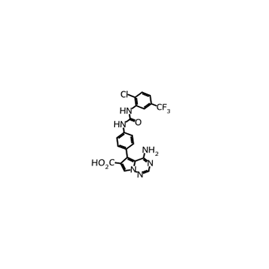 Nc1ncnn2cc(C(=O)O)c(-c3ccc(NC(=O)Nc4cc(C(F)(F)F)ccc4Cl)cc3)c12